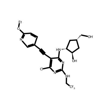 CCOc1ccc(C#Cc2c(Cl)nc(NCC(F)(F)F)nc2N[C@@H]2C[C@H](CO)C[C@H]2O)cn1